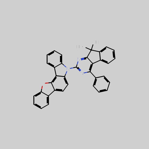 CC1(C)c2ccccc2-c2c(-c3ccccc3)nc(-n3c4ccccc4c4c5oc6ccccc6c5ccc43)nc21